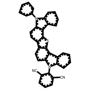 N#Cc1cccc(C#N)c1-n1c2ccccc2c2c3sc4c(ccc5c4c4ccccc4n5-c4ccccc4)c3ccc21